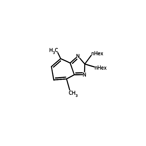 CCCCCCC1(CCCCCC)N=c2c(C)ccc(C)c2=N1